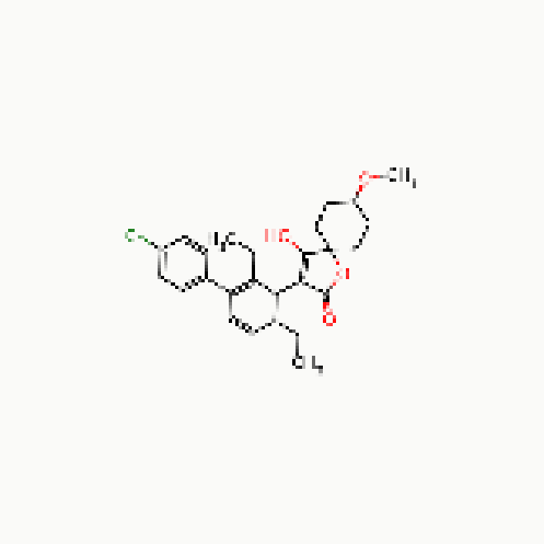 CCc1ccc(-c2ccc(Cl)cc2)c(CC)c1C1=C(O)[C@]2(CC[C@H](OC)CC2)OC1=O